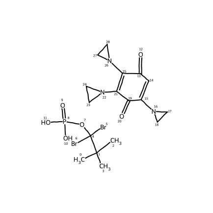 CC(C)(C)C(Br)(Br)OP(=O)(O)O.O=C1C=C(N2CC2)C(=O)C(N2CC2)=C1N1CC1